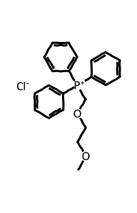 COCCOC[P+](c1ccccc1)(c1ccccc1)c1ccccc1.[Cl-]